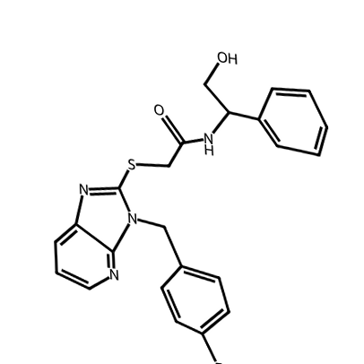 O=C(CSc1nc2cccnc2n1Cc1ccc(F)cc1)NC(CO)c1ccccc1